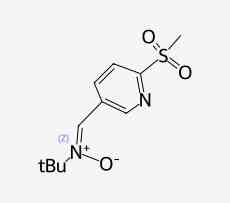 CC(C)(C)/[N+]([O-])=C/c1ccc(S(C)(=O)=O)nc1